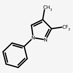 Cc1cn(-c2ccccc2)nc1C(F)(F)F